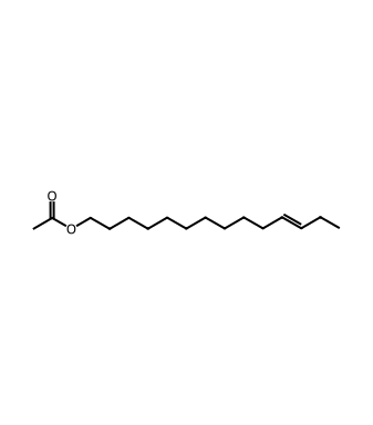 CC/C=C/CCCCCCCCCCOC(C)=O